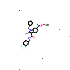 C/C(=N\OC(C)(C)C)c1ccc2c(C(=O)NCc3ccc(F)c(F)c3)c(C(C)C)n(Cc3ccccc3)c2c1